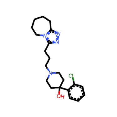 OC1(c2ccccc2Cl)CCN(CCCc2nnc3n2CCCCC3)CC1